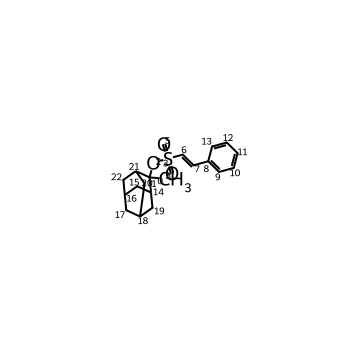 CC1(OS(=O)(=O)C=Cc2ccccc2)C2CC3CC(C2)CC1C3